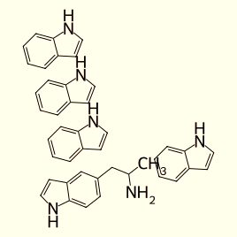 CC(N)Cc1ccc2[nH]ccc2c1.c1ccc2[nH]ccc2c1.c1ccc2[nH]ccc2c1.c1ccc2[nH]ccc2c1.c1ccc2[nH]ccc2c1